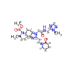 COC(=O)N1c2ccc3c(nc(CCn4ccccc4=O)n3CC(=O)NCc3ncnn3C)c2CC[C@@H]1C